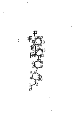 CCCC1CCC(C2CCC(c3ccc4c(oc5c(F)c(F)ccc54)c3F)CC2)CC1